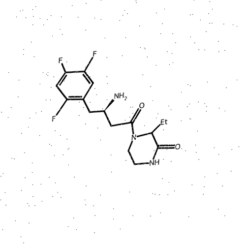 CCC1C(=O)NCCN1C(=O)C[C@H](N)Cc1cc(F)c(F)cc1F